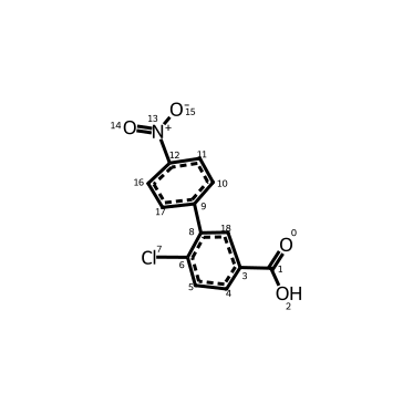 O=C(O)c1ccc(Cl)c(-c2ccc([N+](=O)[O-])cc2)c1